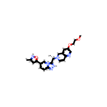 COCCOc1cnc2c(c1)CN([C@@H](C)c1nnc3ccc(-c4cc(C)no4)cn13)C=C2